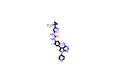 Nc1ncnc2c1c(-c1ccc(NC(=O)Nc3cc(C4(C(F)(F)F)CC4)no3)c(F)c1)cn2-c1ccncc1